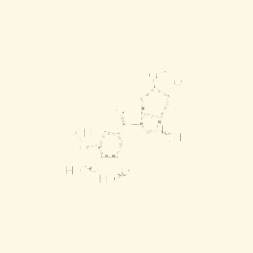 COc1cc(C(=O)c2cn(C)c3cc4c(cc23)OCO4)cc(OC)c1OC